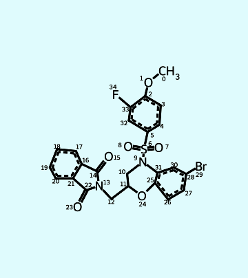 COc1ccc(S(=O)(=O)N2CC(CN3C(=O)c4ccccc4C3=O)Oc3ccc(Br)cc32)cc1F